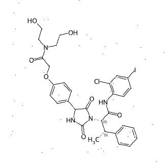 C[C@@H](c1ccccc1)[C@@H](C(=O)Nc1ccc(I)cc1Cl)N1C(=O)NC(c2ccc(OCC(=O)N(CCO)CCO)cc2)C1=O